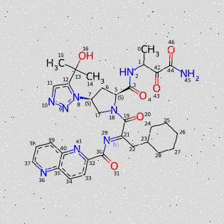 CC(NC(=O)[C@@H]1C[C@H](n2nncc2C(C)(C)O)CN1C(=O)/C(CC1CCCCC1)=N/C(=O)c1ccc2ncccc2n1)C(=O)C(N)=O